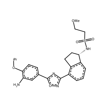 COCCS(=O)(=O)N[C@H]1CCc2c(-c3noc(-c4ccc(OC(C)C)c(N)c4)n3)cccc21